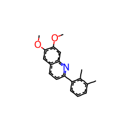 COc1cc2ccc(-c3cccc(C)c3C)nc2cc1OC